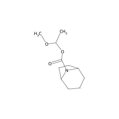 COC(C)OC(=O)N1C2C[CH]CC1CC2